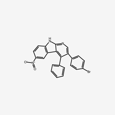 O=[N+]([O-])c1ccc2[nH]c3ncc(-c4ccc(Br)cc4)c(-c4ccccc4)c3c2c1